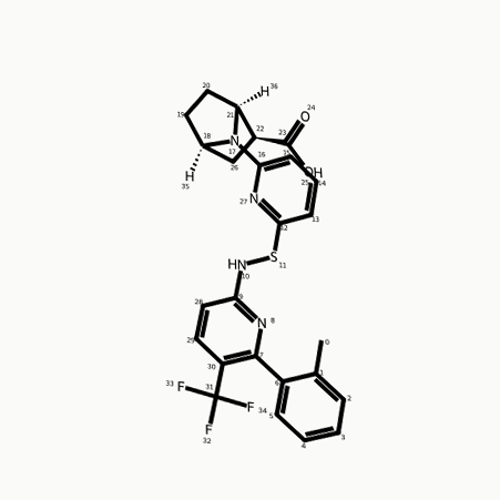 Cc1ccccc1-c1nc(NSc2cccc(N3[C@@H]4CC[C@H]3[C@@H](C(=O)O)C4)n2)ccc1C(F)(F)F